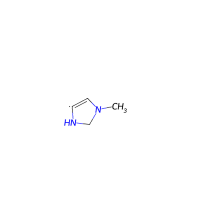 CN1C=[C]NC1